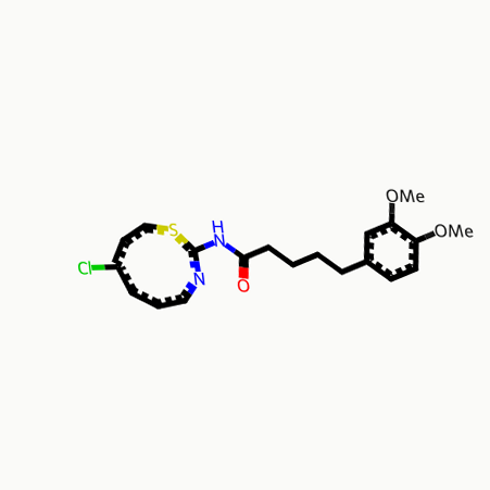 COc1ccc(CCCCC(=O)Nc2ncccc(Cl)ccs2)cc1OC